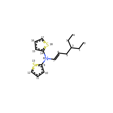 CCC(CC)CC=CN(c1cccs1)c1cccs1